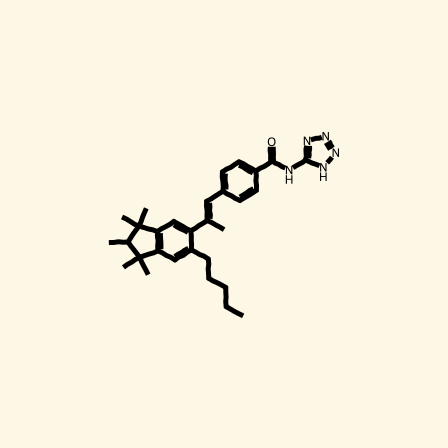 CCCCCc1cc2c(cc1/C(C)=C/c1ccc(C(=O)Nc3nnn[nH]3)cc1)C(C)(C)C(C)C2(C)C